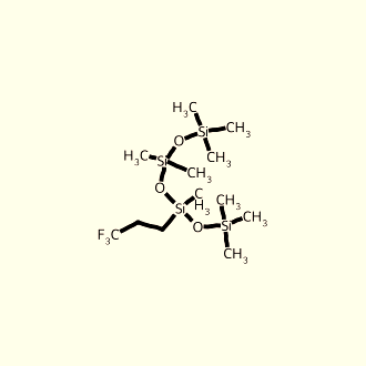 C[Si](C)(C)O[Si](C)(C)O[Si](C)(CCC(F)(F)F)O[Si](C)(C)C